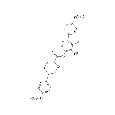 CCCCCc1ccc(-c2ccc(OC(=O)C3CCC(c4ccc(OCCCC)cc4)CO3)c(C(F)(F)F)c2F)cc1